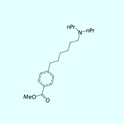 CCCN(CCC)CCCCCCc1ccc(C(=O)OC)cc1